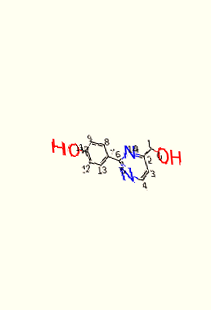 OCc1ccnc(-c2ccc(O)cc2)n1